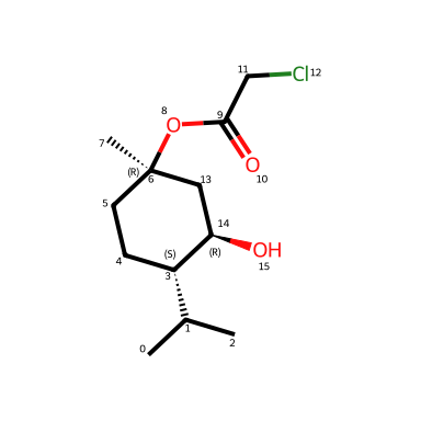 CC(C)[C@@H]1CC[C@@](C)(OC(=O)CCl)C[C@H]1O